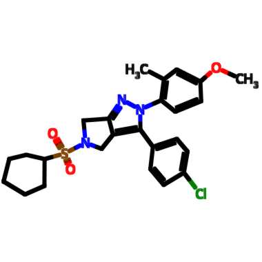 COc1ccc(-n2nc3c(c2-c2ccc(Cl)cc2)CN(S(=O)(=O)C2CCCCC2)C3)c(C)c1